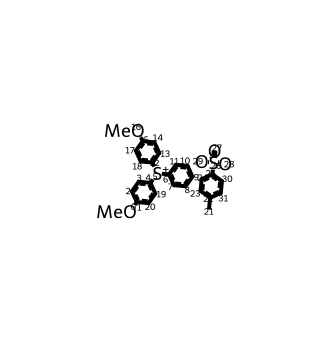 COc1ccc([S+](c2ccccc2)c2ccc(OC)cc2)cc1.Cc1ccc(S(=O)(=O)[O-])cc1